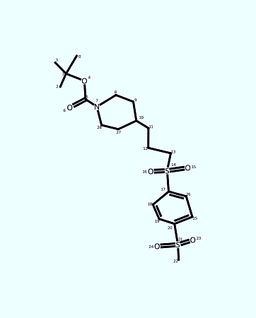 CC(C)(C)OC(=O)N1CCC(CCCS(=O)(=O)c2ccc(S(C)(=O)=O)cc2)CC1